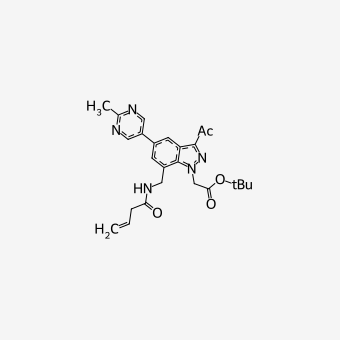 C=CCC(=O)NCc1cc(-c2cnc(C)nc2)cc2c(C(C)=O)nn(CC(=O)OC(C)(C)C)c12